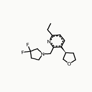 CCc1ccc([C@H]2CCOC2)c(CN2CCC(F)(F)C2)n1